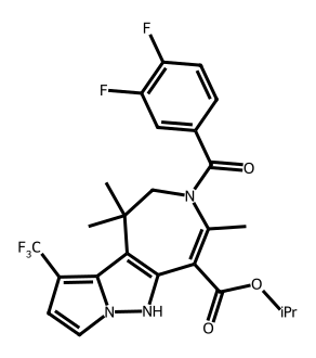 CC1=C(C(=O)OC(C)C)c2[nH]n3ccc(C(F)(F)F)c3c2C(C)(C)CN1C(=O)c1ccc(F)c(F)c1